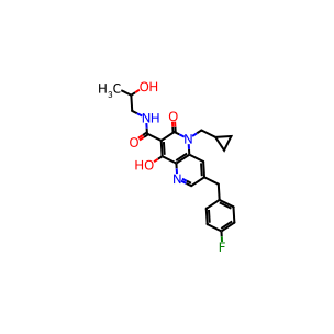 CC(O)CNC(=O)c1c(O)c2ncc(Cc3ccc(F)cc3)cc2n(CC2CC2)c1=O